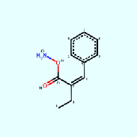 CCC(=Cc1ccccc1)C(=O)ON